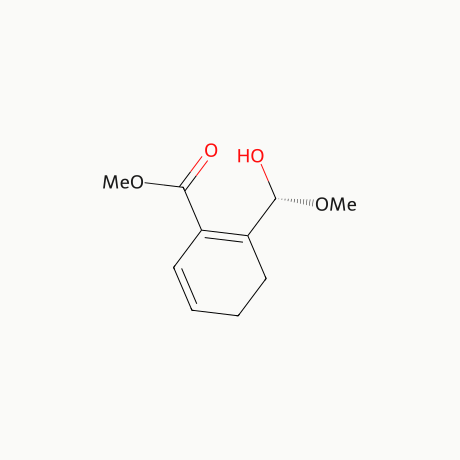 COC(=O)C1=C([C@H](O)OC)CCC=C1